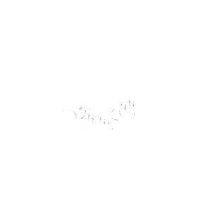 CN1CCN(c2ccc(C(=O)N3CCN(c4ncc(C5CC5)cc4C4CC4)CC3)cc2)C1=O